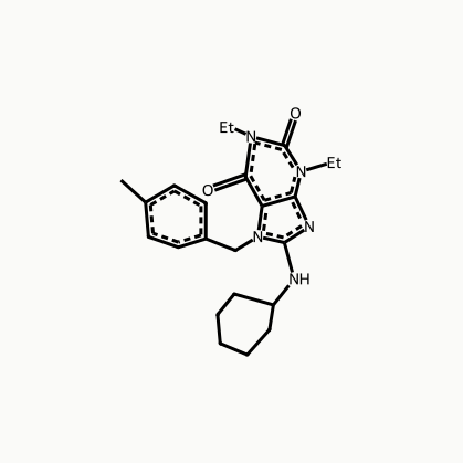 CCn1c(=O)c2c(nc(NC3CCCCC3)n2Cc2ccc(C)cc2)n(CC)c1=O